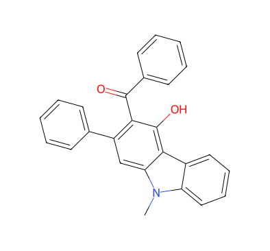 Cn1c2ccccc2c2c(O)c(C(=O)c3ccccc3)c(-c3ccccc3)cc21